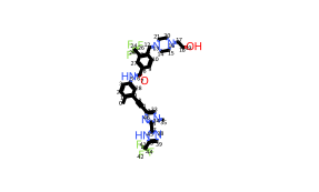 Cc1ccc(NC(=O)c2ccc(CN3CCN(CCO)CC3)c(C(F)(F)F)c2)cc1C#Cc1cn(C)c(-c2ncc(C(F)(F)F)[nH]2)n1